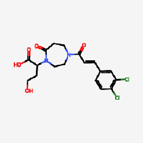 O=C(O)C(CCO)N1CCN(C(=O)/C=C/c2ccc(Cl)c(Cl)c2)CCC1=O